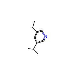 CCc1cncc(C(C)C)c1